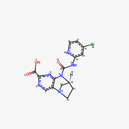 O=C(O)c1ncc2c(n1)N(C(=O)Nc1cc(Br)ccn1)[C@H]1CCN2C1